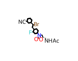 CC(=O)NC[C@H]1CN(c2ccc(/C=C(\Br)c3cccc(C#N)c3)c(F)c2)C(=O)O1